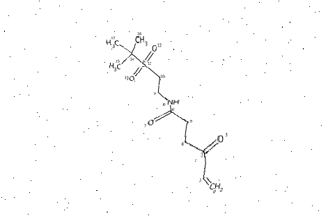 C=CC(=O)CCC(=O)NCCS(=O)(=O)C(C)(C)C